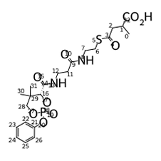 CC(CC(=O)SCCNC(=O)CCNC(=O)[C@@H]1OP(=O)(Oc2ccccc2)OCC1(C)C)C(=O)O